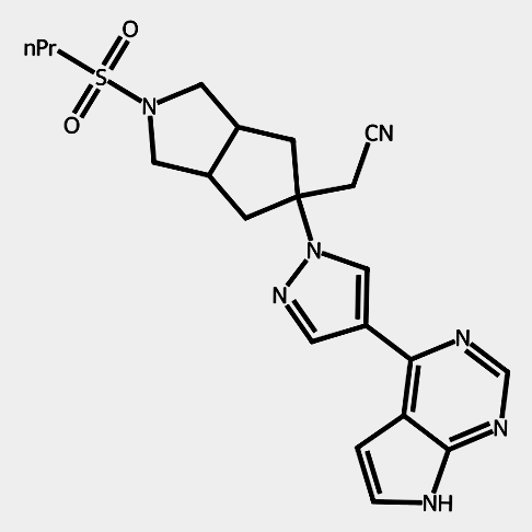 CCCS(=O)(=O)N1CC2CC(CC#N)(n3cc(-c4ncnc5[nH]ccc45)cn3)CC2C1